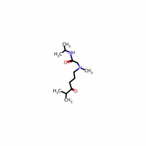 CC(C)NC(=O)CN(C)CCCC(=O)C(C)C